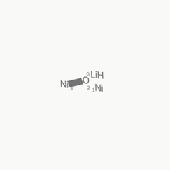 [LiH].[Ni].[O]=[Ni]